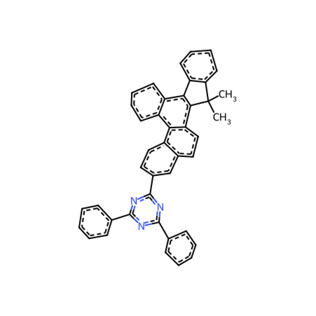 CC1(C)c2ccccc2-c2c1c1ccc3cc(-c4nc(-c5ccccc5)nc(-c5ccccc5)n4)ccc3c1c1ccccc21